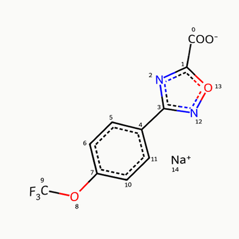 O=C([O-])c1nc(-c2ccc(OC(F)(F)F)cc2)no1.[Na+]